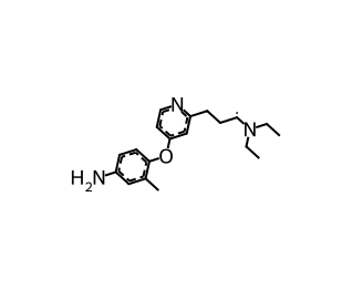 CCN([CH]CCc1cc(Oc2ccc(N)cc2C)ccn1)CC